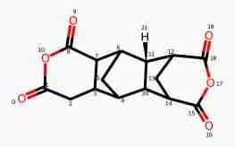 O=C1CC2C3CC(C2C(=O)O1)[C@@H]1C2CC(C(=O)OC2=O)C31